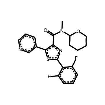 CN(C(=O)c1nc(-c2c(F)cccc2F)sc1-c1cccnc1)C1CCCCO1